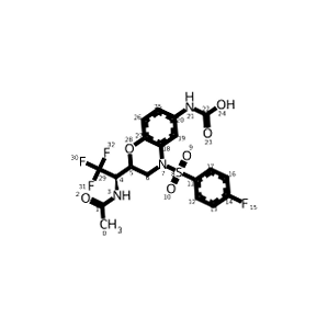 CC(=O)N[C@H](C1CN(S(=O)(=O)c2ccc(F)cc2)c2cc(NC(=O)O)ccc2O1)C(F)(F)F